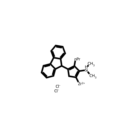 CCCC1=C(C2c3ccccc3-c3ccccc32)C[C]([Zr+2])=C1[SiH](C)C.[Cl-].[Cl-]